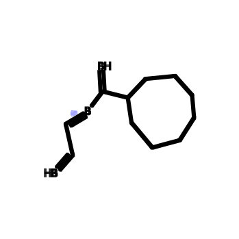 B=C/C=B\C(=B)C1CCCCCCC1